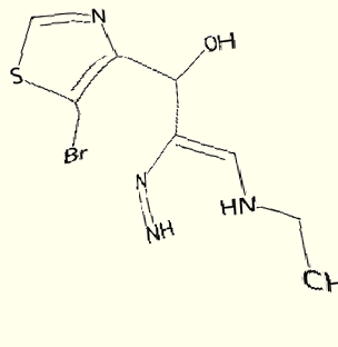 CCN/C=C(\N=N)C(O)c1ncsc1Br